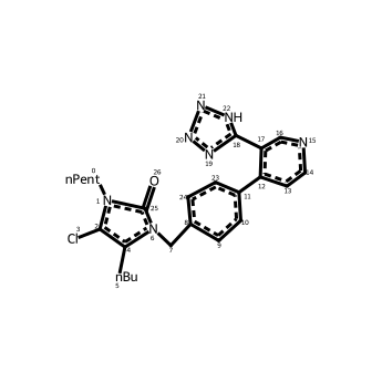 CCCCCn1c(Cl)c(CCCC)n(Cc2ccc(-c3ccncc3-c3nnn[nH]3)cc2)c1=O